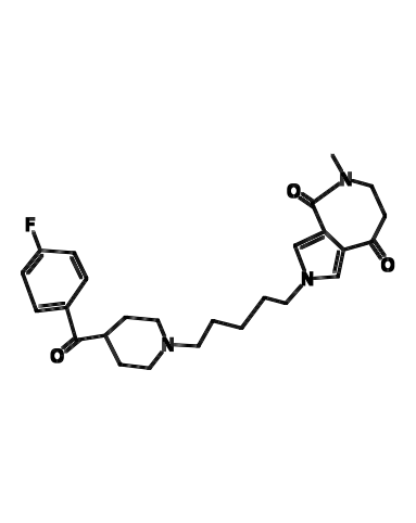 CN1CCC(=O)c2cn(CCCCCN3CCC(C(=O)c4ccc(F)cc4)CC3)cc2C1=O